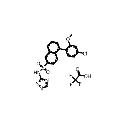 COc1cc(Cl)ccc1-c1cccc2cc(S(=O)(=O)Nc3ncns3)ccc12.O=C(O)C(F)(F)F